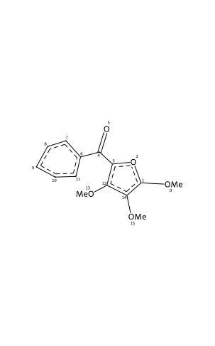 COc1oc(C(=O)c2ccccc2)c(OC)c1OC